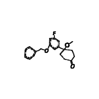 COC1(c2cc(F)cc(OCc3ccccc3)c2)CCC(=O)CC1